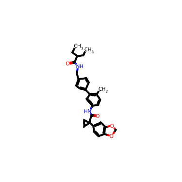 CCC(CC)C(=O)NCc1ccc(-c2cc(NC(=O)C3(c4ccc5c(c4)OCO5)CC3)ccc2C)cc1